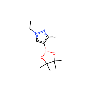 CCn1cc(B2OC(C)(C)C(C)(C)O2)c(C)n1